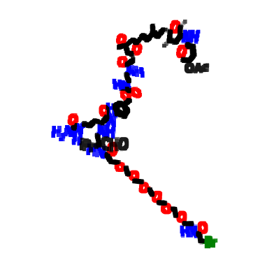 CC(=O)O[C@@H](C)/C=C\C(=O)N[C@@H]1C[C@H](C)[C@H](C/C=C(C)/C=C/[C@@H]2C[C@]3(CO3)C[C@@H](CC(=O)NCCNC(=O)OCc3ccc(NC(=O)[C@H](CCCNC(N)=O)NC[C@](C=O)(NC(=O)CCOCCOCCOCCOCCOCCOCCNC(=O)CBr)C(C)C)cc3)O2)O[C@@H]1C